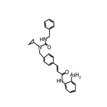 O=C(/C=C/c1ccc(CN(C(=O)NCc2ccccc2)C2CC2)cc1)Nc1ccccc1[AsH2]